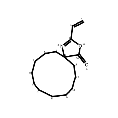 C=CC1=NC2(CCCCCCCCCCC2)C(=O)O1